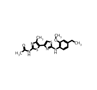 CCc1ccc(Nc2nc(-c3sc(NC(C)=O)nc3C)cs2)c(OC)c1